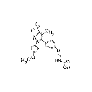 COc1ccc(-n2nc(C(F)(F)F)c(C)c2-c2ccc(OCCNC(=O)O)cc2)cc1